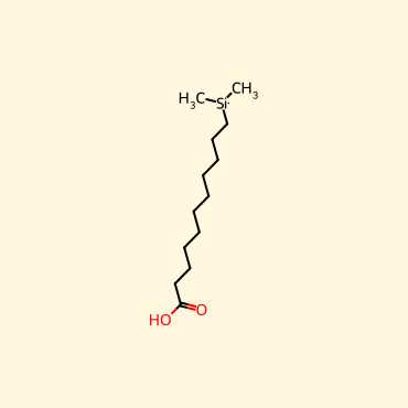 C[Si](C)CCCCCCCCCCC(=O)O